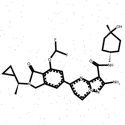 C[C@@H](C1CC1)N1Cc2cc(-c3ccn4nc(N)c(C(=O)N[C@H]5CC[C@@](C)(O)CC5)c4n3)cc(OC(F)F)c2C1=O